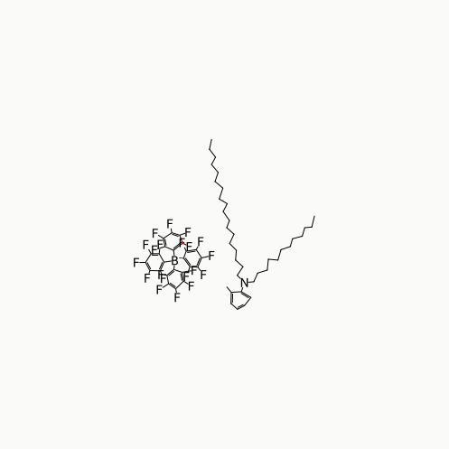 CCCCCCCCCCCCCCCCCCN(CCCCCCCCCCCC)c1ccccc1C.Fc1c(F)c(F)c([B-](c2c(F)c(F)c(F)c(F)c2F)(c2c(F)c(F)c(F)c(F)c2F)c2c(F)c(F)c(F)c(F)c2F)c(F)c1F